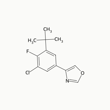 CC(C)(C)c1cc(-c2cocn2)cc(Cl)c1F